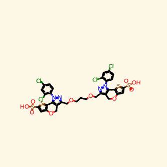 O=S(=O)(O)c1cc2c(s1)-c1c(c(COCCCOCc3nn(-c4ccc(Cl)cc4Cl)c4c3COc3cc(S(=O)(=O)O)sc3-4)nn1-c1ccc(Cl)cc1Cl)CO2